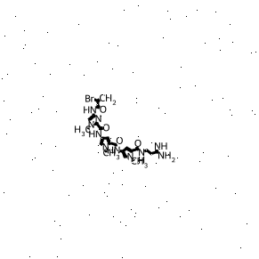 C=C(Br)C(=O)Nc1cn(C)c(C(=O)Nc2cc(C(=O)Nc3cc(C(=O)NCCC(=N)N)n(C)c3)n(C)c2)n1